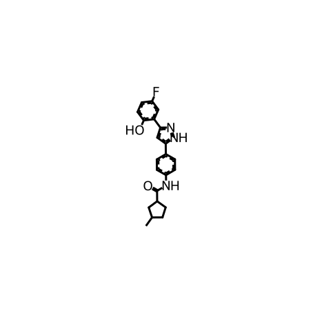 CC1CCC(C(=O)Nc2ccc(-c3cc(-c4cc(F)ccc4O)n[nH]3)cc2)C1